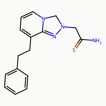 NC(=S)CN1CN2C=CC=C(CCc3ccccc3)C2=N1